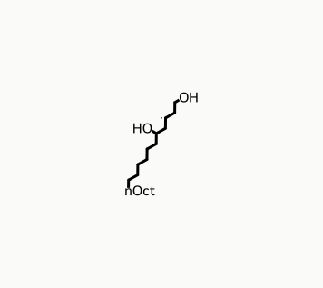 CCCCCCCCCCCCCCC(O)C[CH]CCO